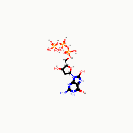 Nc1nc2c(nc(O)n2[C@H]2CC(O)[C@@H](COP(=O)(O)OP(=O)(O)OP(=O)(O)O)O2)c(=O)[nH]1